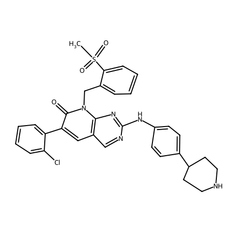 CS(=O)(=O)c1ccccc1Cn1c(=O)c(-c2ccccc2Cl)cc2cnc(Nc3ccc(C4CCNCC4)cc3)nc21